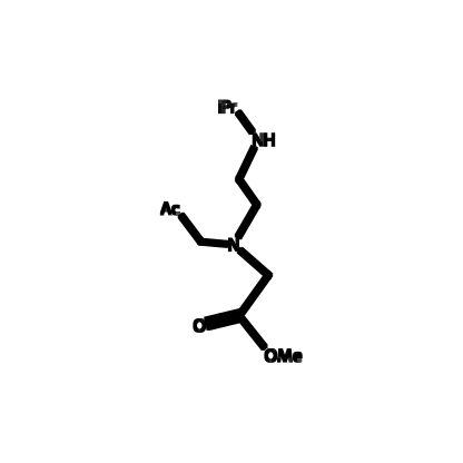 COC(=O)CN(CCNC(C)C)CC(C)=O